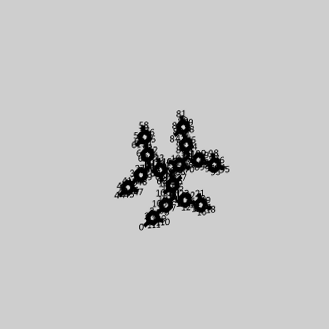 Cc1ccc(-c2ccc(N(c3ccc(-c4ccc(C)cc4C)cc3)c3cc(C)c(N(c4cc(C)c(N(c5ccc(-c6ccc(C)cc6C)cc5)c5ccc(-c6ccc(C)cc6C)cc5)cc4C)c4cc(C)c(N(c5ccc(-c6ccc(C)cc6C)cc5)c5ccc(-c6ccc(C)cc6C)cc5)cc4C)cc3C)cc2)c(C)c1